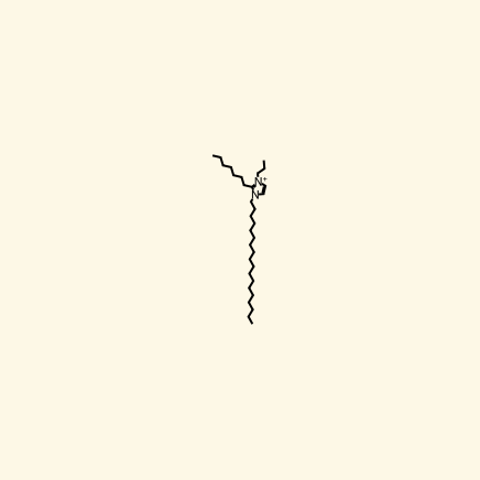 CCCCCCCCCCCCCCCCCCn1cc[n+](CCC)c1CCCCCCC